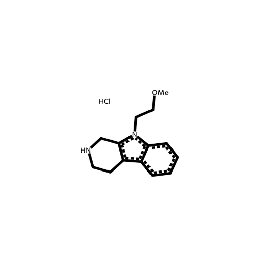 COCCn1c2c(c3ccccc31)CCNC2.Cl